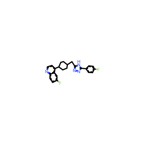 Fc1ccc(-c2nnc(CC3CCC(c4ccnc5ccc(F)cc45)CC3)[nH]2)cc1